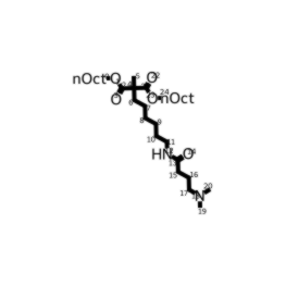 CCCCCCCCOC(=O)C(C)(CCCCCCNC(=O)CCCN(C)C)C(=O)OCCCCCCCC